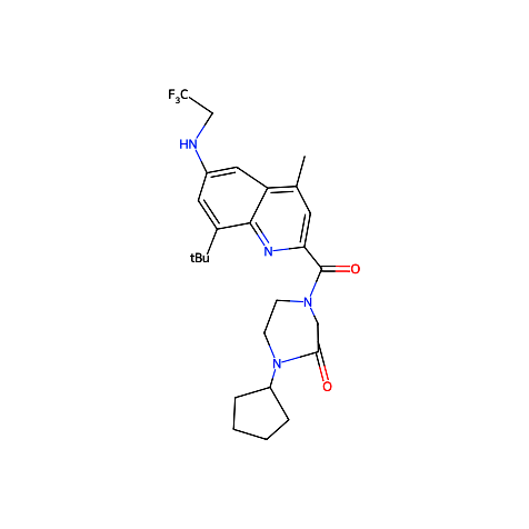 Cc1cc(C(=O)N2CCN(C3CCCC3)C(=O)C2)nc2c(C(C)(C)C)cc(NCC(F)(F)F)cc12